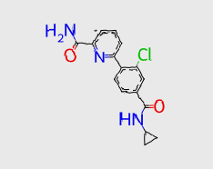 NC(=O)c1[c]ccc(-c2ccc(C(=O)NC3CC3)cc2Cl)n1